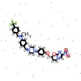 CN(Cc1ccc(C(F)(F)F)cc1)c1ccc(CN2CCN(c3ccc(OC[C@H]4CCn5cc([N+](=O)[O-])nc5O4)cc3)CC2)cc1